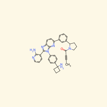 CC#CC(=O)N1CCCC1c1cccc(-c2ccc3nc(-c4cccnc4N)n(-c4ccc(C5(N)CCC5)cc4)c3n2)c1